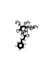 CCC[C@H](C(=O)NOC(C)C)[C@@H](CC(C)C)C(=O)NOC(=O)CCc1ccccc1